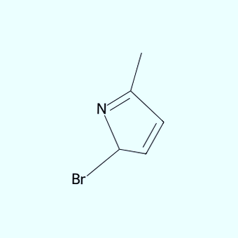 CC1=NC(Br)C=C1